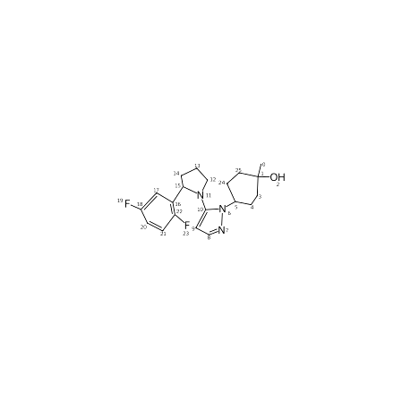 CC1(O)CCC(n2nccc2N2CCCC2c2cc(F)ccc2F)CC1